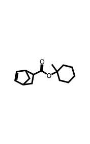 CC1(OC(=O)C2CC3C=CC2C3)CCCCC1